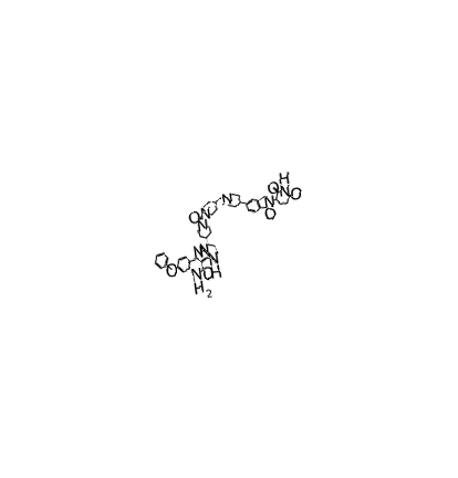 NC(=O)c1c(-c2ccc(Oc3ccccc3)cc2)nn2c1NCC[C@H]2C1CCN(C(=O)N2CCC(CN3CCC(c4ccc5c(c4)CN(C4CCC(=O)NC4=O)C5=O)CC3)CC2)CC1